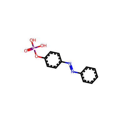 O=P(O)(O)Oc1ccc(/N=N/c2ccccc2)cc1